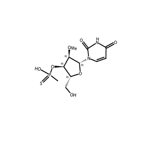 CO[C@@H]1[C@H](OP(C)(O)=S)[C@@H](CO)O[C@H]1n1ccc(=O)[nH]c1=O